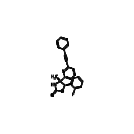 C[C@]1(c2cccc(C#Cc3ccccc3)n2)NC(=O)O[C@@H]1c1ccccc1F